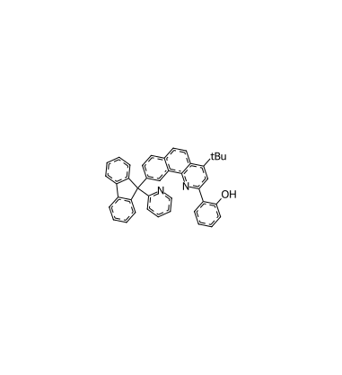 CC(C)(C)c1cc(-c2ccccc2O)nc2c1ccc1ccc(C3(c4ccccn4)c4ccccc4-c4ccccc43)cc12